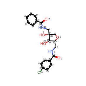 O=C(NC[C@H]1OC[C@@](O)(CNC(=O)c2ccccc2)[C@@H]1O)c1ccc(Cl)cc1